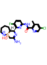 Cc1cc(Cl)cnc1C(=O)Nc1ccc(F)c([C@H]2N=C(N)C[S@]3(O)NCCCC[C@@H]23)n1